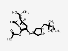 CNC(C)(C)C[C@@H]1C[C@H](SC2=C(OC(=O)O)N3C(=O)[C@H]([C@@H](C)O)[C@H]3C2)CN1